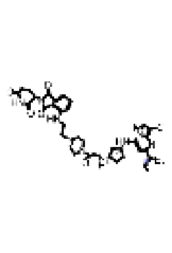 C/C=C(\CC)c1cc(N[C@H]2CC[C@H](NCC(=O)N3CCN(CCNc4cccc5c4C(=O)N(C4CCC(=O)NC4=O)C5=O)CC3)C2)n2ncc(Cl)c2n1